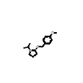 COc1ccc(CO[C@H]2CCCN2C(C)C)cc1